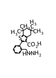 CC1(C)Cc2c(sc(-c3ccccc3CNN)c2C(=O)O)C(C)(C)C1